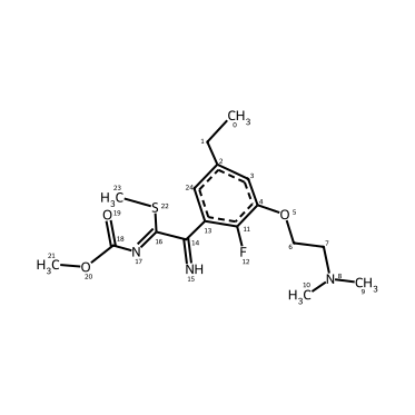 CCc1cc(OCCN(C)C)c(F)c(C(=N)C(=NC(=O)OC)SC)c1